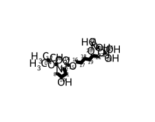 CC(C)(C)OC(=O)N1C[C@H](O)C[C@H]1C(=O)OCCCCC(CON(O)O)ON(O)O